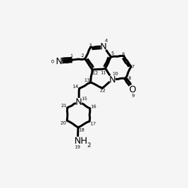 N#Cc1cnc2ccc(=O)n3c2c1C(CN1CCC(N)CC1)C3